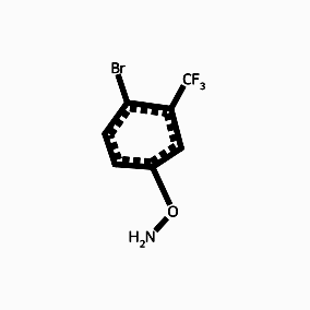 NOc1ccc(Br)c(C(F)(F)F)c1